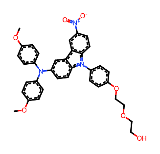 COc1ccc(N(c2ccc(OC)cc2)c2ccc3c(c2)c2cc([N+](=O)[O-])ccc2n3-c2ccc(OCCOCCO)cc2)cc1